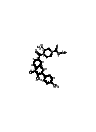 CCCOC(=O)N1CCN(C(=O)c2ccc3c(Cl)c(C)c(-c4ccc(C)cc4)nc3c2)[C@H](N)C1